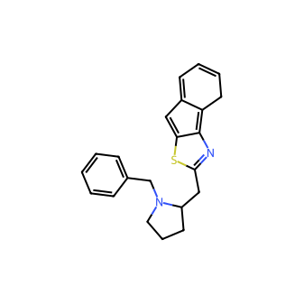 C1=CCC2=c3nc(CC4CCCN4Cc4ccccc4)sc3=CC2=C1